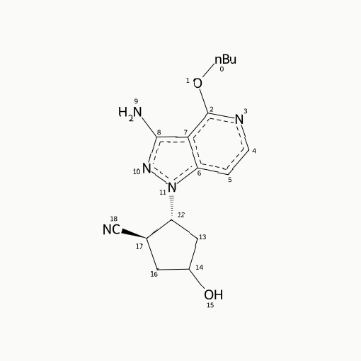 CCCCOc1nccc2c1c(N)nn2[C@@H]1CC(O)C[C@H]1C#N